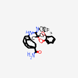 CC(C)(Oc1ccccc1OC(F)(F)F)/C(=N\C#N)NC1C2CC3CC1CC(C(N)=O)(C3)C2